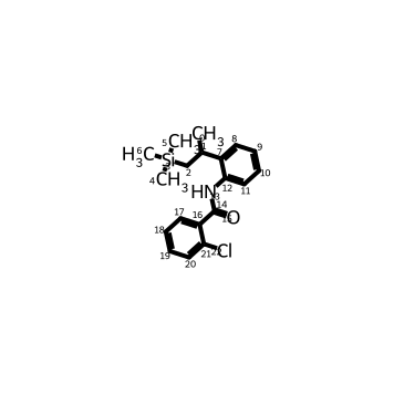 CC(C[Si](C)(C)C)c1ccccc1NC(=O)c1ccccc1Cl